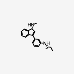 CCSNc1cccc(C2=CC(NC)c3ccccc32)c1